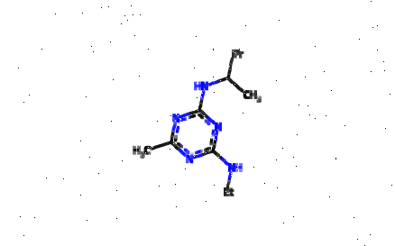 CCNc1nc(C)nc(NC(C)C(C)C)n1